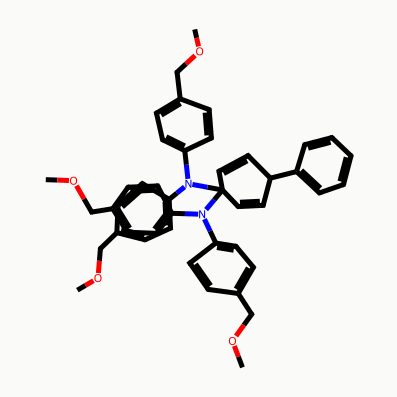 COCc1ccc(N(c2ccc(COC)cc2)C2(N(c3ccc(COC)cc3)c3ccc(COC)cc3)C=CC(c3ccccc3)C=C2)cc1